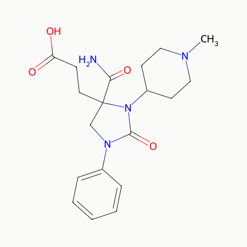 CN1CCC(N2C(=O)N(c3ccccc3)CC2(CCC(=O)O)C(N)=O)CC1